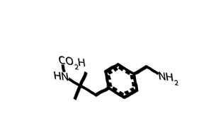 CC(C)(Cc1ccc(CN)cc1)NC(=O)O